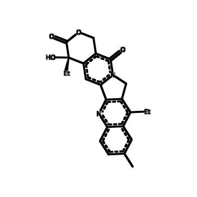 CCc1c2c(nc3ccc(C)cc13)-c1cc3c(c(=O)n1C2)COC(=O)[C@]3(O)CC